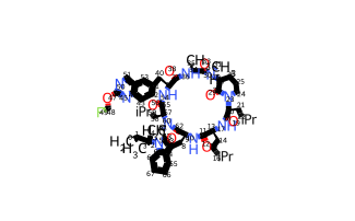 C=CC(C)(C)n1cc(C[C@@H]2NC(=O)[C@H](CCC(C)C)NC(=O)[C@H](CC(C)C)N3CCC[C@@H](C3=O)N(C)C(=O)[C@H](C)NC(=O)[C@H](Cc3ccc4nc(OCF)ncc4c3)NC(=O)[C@H](CC(C)C)N(C)C2=O)c2ccccc21